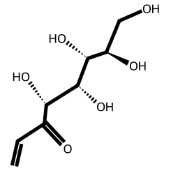 C=CC(=O)[C@H](O)[C@@H](O)[C@H](O)[C@H](O)CO